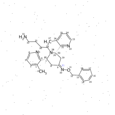 Cc1cccnc1[C@H]1C/C(=N/OCc2ccccc2)C[C@@H](c2ncccc2C)N1CCCCN